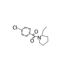 CCC1CCCCN1S(=O)(=O)c1ccc(Cl)cc1